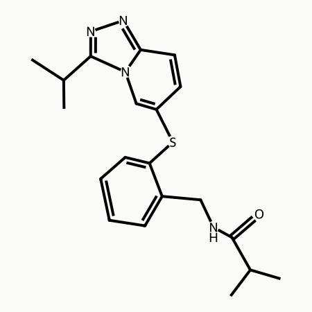 CC(C)C(=O)NCc1ccccc1Sc1ccc2nnc(C(C)C)n2c1